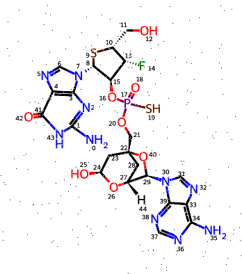 Nc1nc2c(ncn2[C@@H]2S[C@H](CO)[C@H](F)[C@H]2OP(=O)(S)OC[C@]23C[C@H](O)O[C@H](C2)[C@H](n2cnc4c(N)ncnc42)O3)c(=O)[nH]1